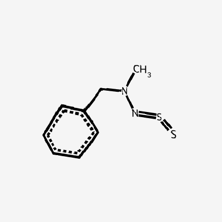 CN(Cc1ccccc1)N=S=S